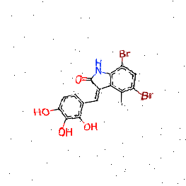 Cc1c(Br)cc(Br)c2c1C(=Cc1ccc(O)c(O)c1O)C(=O)N2